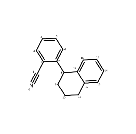 N#Cc1ccccc1C1CCCc2ccccc21